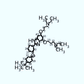 CCN(CC)CCCOc1cc(OCCCN(CC)CC)c2nc(-c3cccc(Oc4ccc(C(C)(C)C)cc4)c3)[nH]c2c1